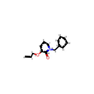 C=CCOc1cccn(Cc2ccccc2)c1=O